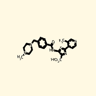 CN1CCN(Cc2ccc(C(=O)Nc3sc(-c4ccncc4C(F)(F)F)nc3C(=O)O)cc2)CC1